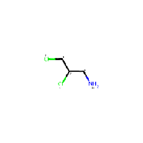 NCC(Cl)CCl